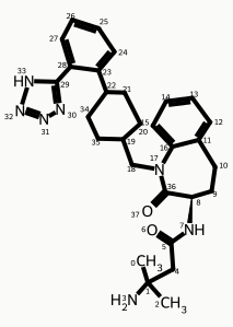 CC(C)(N)CC(=O)N[C@@H]1CCc2ccccc2N(CC2CCC(c3ccccc3-c3nnn[nH]3)CC2)C1=O